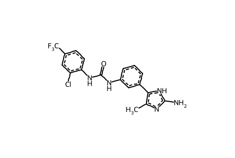 Cc1nc(N)[nH]c1-c1cccc(NC(=O)Nc2ccc(C(F)(F)F)cc2Cl)c1